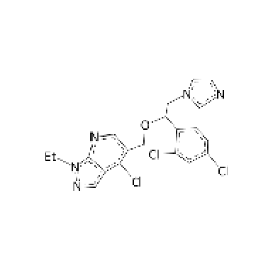 CCn1ncc2c(Cl)c(COC(Cn3ccnc3)c3ccc(Cl)cc3Cl)cnc21